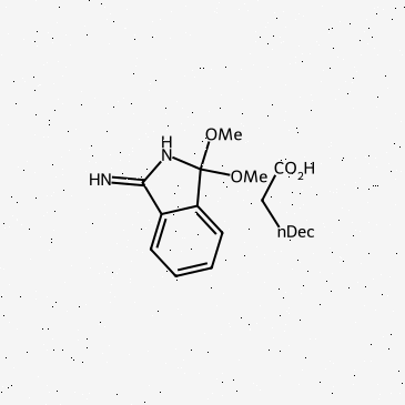 CCCCCCCCCCCC(=O)O.COC1(OC)NC(=N)c2ccccc21